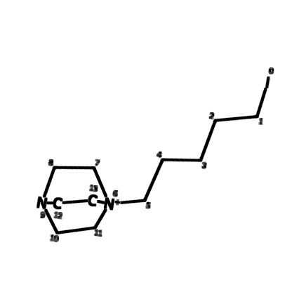 ICCCCC[N+]12CCN(CC1)CC2